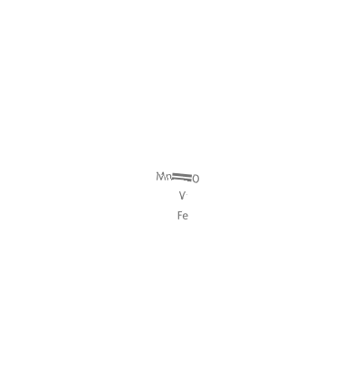 [Fe].[O]=[Mn].[V]